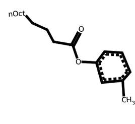 CCCCCCCCCCCC(=O)Oc1cccc(C)c1